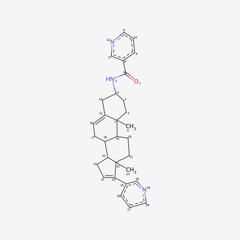 CC12CCC(NC(=O)c3cccnc3)CC1=CCC1C2CCC2(C)C(c3cccnc3)=CCC12